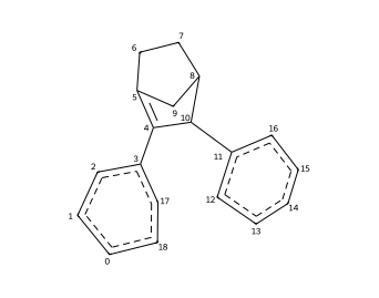 c1ccc(C2=C3CCC(C3)C2c2ccccc2)cc1